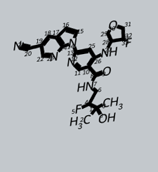 CC(C)(O)C(F)CNC(=O)c1cnc(-n2ccc3cc(C#N)cnc32)cc1NC1COC[C@H]1F